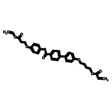 C=COC(=O)CCOc1ccc(SC(=O)c2ccc(-c3ccc(OCCCCOC(=O)C=C)cc3)cc2)cc1